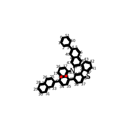 c1ccc(-c2ccc3ccc(N(c4ccccc4)c4c(-c5ccc(-c6ccc7ccccc7c6)cc5)ccc5sc6ccccc6c45)cc3c2)cc1